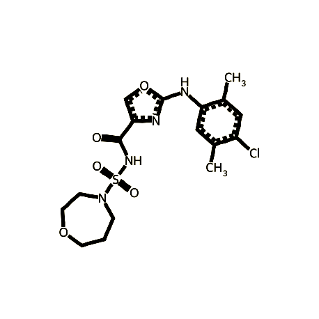 Cc1cc(Nc2nc(C(=O)NS(=O)(=O)N3CCCOCC3)co2)c(C)cc1Cl